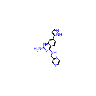 Nc1nc(NCc2cnccn2)c2ccc(-c3ccn[nH]3)cc2n1